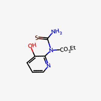 CCOC(=O)N(C(N)=S)c1ncccc1O